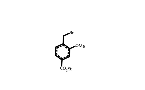 CCOC(=O)c1ccc(CBr)c(OC)c1